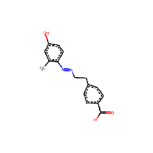 Cc1cc(O)ccc1N=NCCc1ccc(C(=O)O)cc1